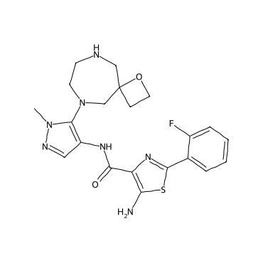 Cn1ncc(NC(=O)c2nc(-c3ccccc3F)sc2N)c1N1CCNCC2(CCO2)C1